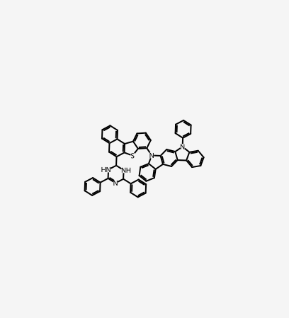 c1ccc(C2=NC(c3ccccc3)NC(c3cc4ccccc4c4c3sc3c(-n5c6ccccc6c6cc7c8ccccc8n(-c8ccccc8)c7cc65)cccc34)N2)cc1